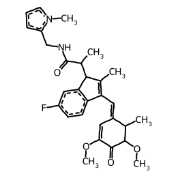 COC1=CC(=CC2=C(C)C(C(C)C(=O)NCc3cccn3C)c3cc(F)ccc32)C(C)C(OC)C1=O